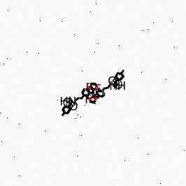 Cc1ccc(S(=O)(=O)NCCCc2ccc(F)[c]([Ti]([C]3=CC=CC3)([C]3=CC=CC3)[c]3c(F)ccc(CCCNS(=O)(=O)c4ccc(C)cc4)c3F)c2F)cc1